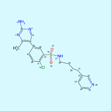 Cc1nc(N)ncc1-c1ccc(Cl)c(S(=O)(=O)NCCCCc2cccnc2)c1